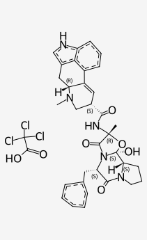 CN1C[C@@H](C(=O)N[C@]2(C)O[C@@]3(O)[C@@H]4CCCN4C(=O)[C@H](Cc4ccccc4)N3C2=O)C=C2c3cccc4[nH]cc(c34)C[C@H]21.O=C(O)C(Cl)(Cl)Cl